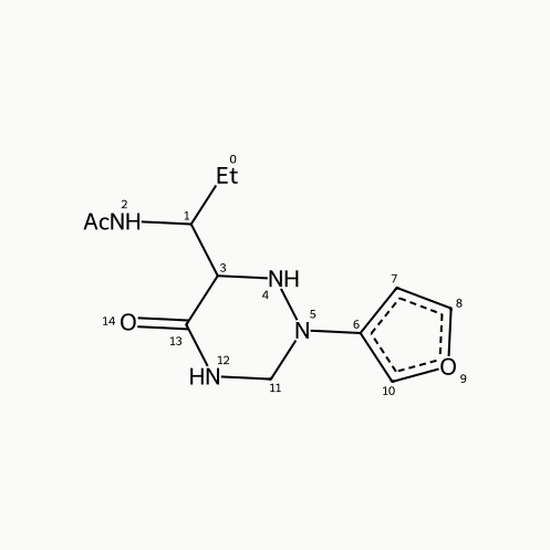 CCC(NC(C)=O)C1NN(c2ccoc2)CNC1=O